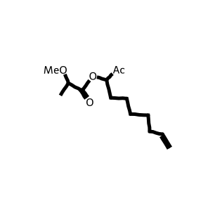 C=CCCCCCC(OC(=O)C(C)OC)C(C)=O